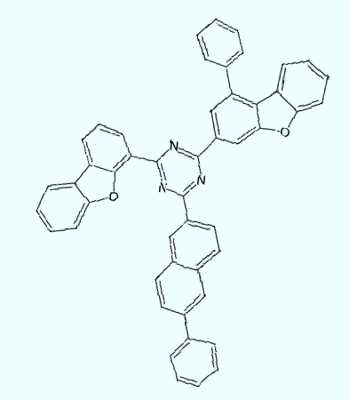 c1ccc(-c2ccc3cc(-c4nc(-c5cc(-c6ccccc6)c6c(c5)oc5ccccc56)nc(-c5cccc6c5oc5ccccc56)n4)ccc3c2)cc1